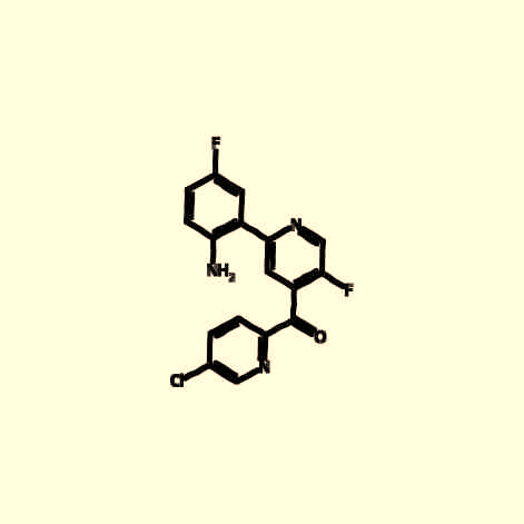 Nc1ccc(F)cc1-c1cc(C(=O)c2ccc(Cl)cn2)c(F)cn1